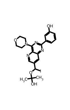 CC(C)(O)OC(I)c1cnc2c(N3CCOCC3)nc(-c3cccc(O)c3)nc2c1